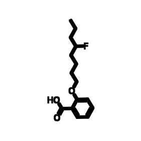 CCCC(F)CCCCOc1ccccc1C(=O)O